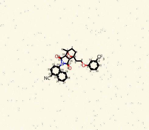 CC12CCC(CCOc3cccc(C(F)(F)F)c3)(O1)C1C(=O)N(c3ccc(C#N)c4ccccc34)C(=O)C12